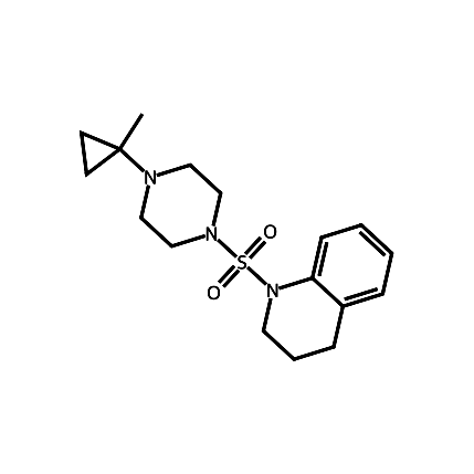 CC1(N2CCN(S(=O)(=O)N3CCCc4ccccc43)CC2)CC1